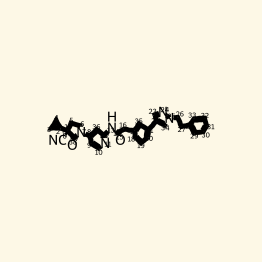 N#C[C@@]1(C2CC2)CCN(c2ccnc(NC(=O)Cc3cccc(-c4cnn(CCc5ccccc5)c4)c3)c2)C1=O